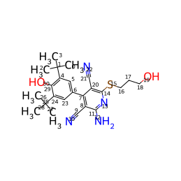 CC(C)(C)c1cc(-c2c(C#N)c(N)nc(SCCCO)c2C#N)cc(C(C)(C)C)c1O